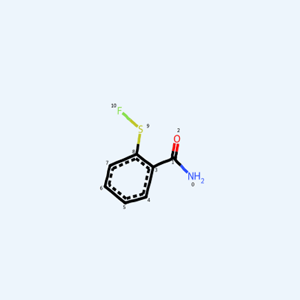 NC(=O)c1ccccc1SF